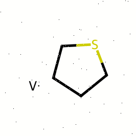 C1CCSC1.[V]